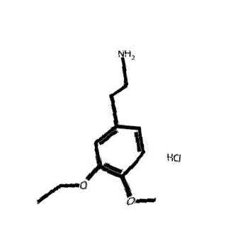 CCOc1cc(CCN)ccc1OC.Cl